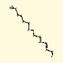 CCC=C/C=C/CCCCCCCCO